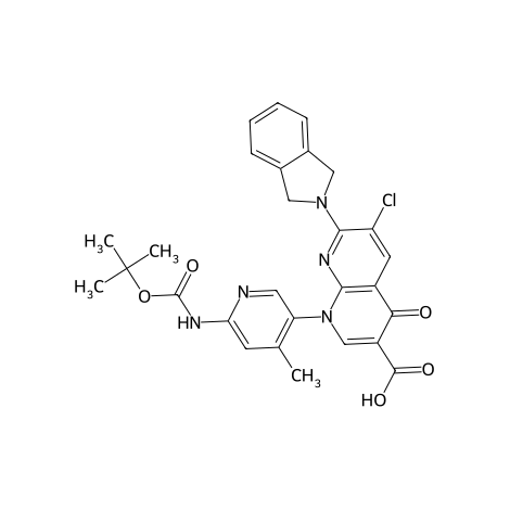 Cc1cc(NC(=O)OC(C)(C)C)ncc1-n1cc(C(=O)O)c(=O)c2cc(Cl)c(N3Cc4ccccc4C3)nc21